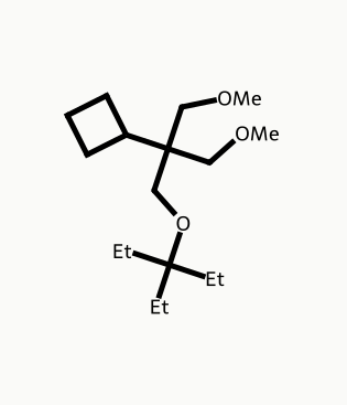 CCC(CC)(CC)OCC(COC)(COC)C1CCC1